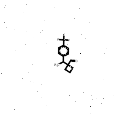 CC(c1ccc(C(F)(F)F)cc1)C1(C=O)CCC1